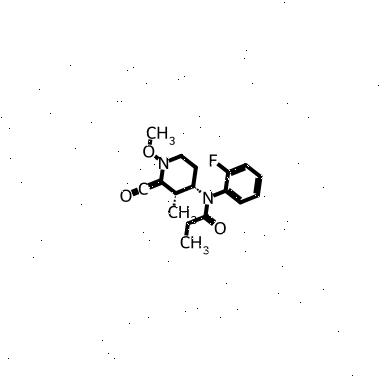 CCC(=O)N(c1ccccc1F)[C@H]1CCN(OC)C(=C=O)[C@H]1C